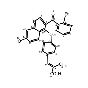 CCc1ccccc1C(=O)c1cnc2cc(O)ccc2c1Oc1ccc(/C=C(\C)C(=O)O)cc1